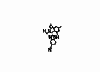 COc1cc(C)cc(C)c1C(N)c1nc2cc(C#N)ccc2[nH]1